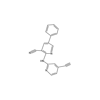 C#Cc1ccnc(Nc2ncc(-c3ccccc3)cc2C#N)c1